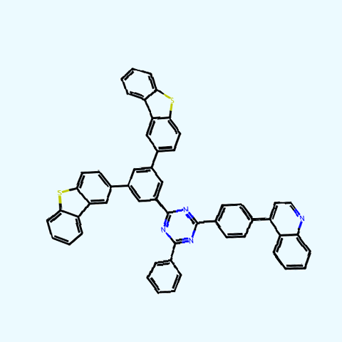 c1ccc(-c2nc(-c3ccc(-c4ccnc5ccccc45)cc3)nc(-c3cc(-c4ccc5sc6ccccc6c5c4)cc(-c4ccc5sc6ccccc6c5c4)c3)n2)cc1